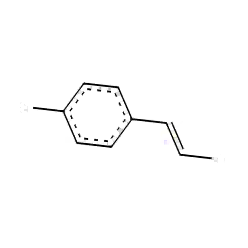 CC(C)/C=C/c1ccc(Br)cc1